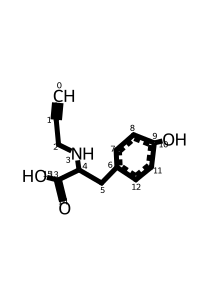 C#CCNC(Cc1ccc(O)cc1)C(=O)O